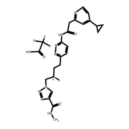 CNC(=O)c1cn(C[C@H](F)CCc2ccc(NC(=O)Cc3cc(C4CC4)ccn3)nn2)nn1.O=C(O)C(F)(F)F